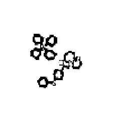 O=C(C[N+]12CCCCCC1=NCCC2)c1ccc(Sc2ccccc2)cc1.c1ccc([B-](c2ccccc2)(c2ccccc2)c2ccccc2)cc1